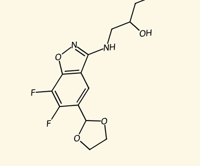 OCC(O)CNc1noc2c(F)c(F)c(C3OCCO3)cc12